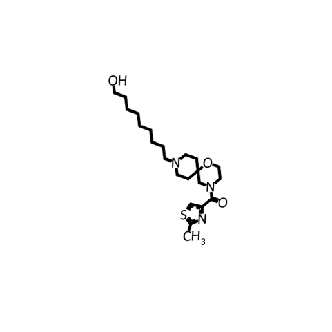 Cc1nc(C(=O)N2CCOC3(CCN(CCCCCCCCCO)CC3)C2)cs1